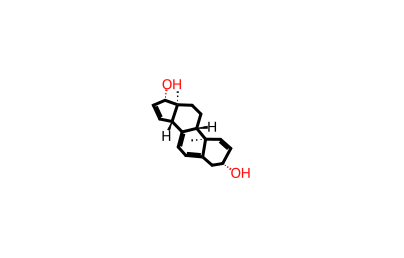 C[C@]12CC[C@H]3C(=CC=C4C[C@@H](O)C=C[C@@]43C)[C@@H]1C=C[C@@H]2O